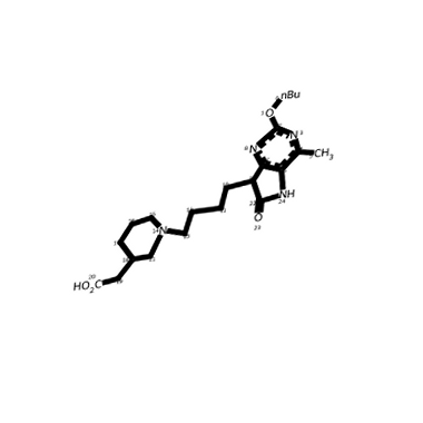 CCCCOc1nc(C)c2c(n1)C(CCCCN1CCCC(CC(=O)O)C1)C(=O)N2